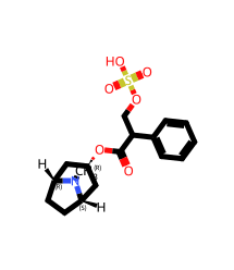 CN1[C@@H]2CC[C@H]1C[C@@H](OC(=O)C(COS(=O)(=O)O)c1ccccc1)C2